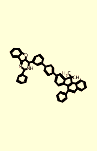 CC1(C)c2cc(C3=CCC(c4cccc(C5NC(c6ccccc6)N=C6c7ccccc7OC65)c4)C=C3)ccc2-c2c(-c3ccccc3)cc3ccccc3c21